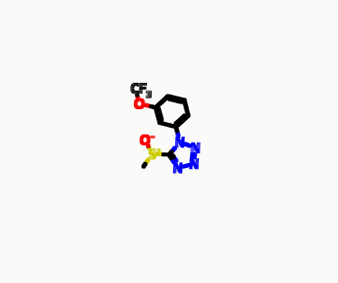 C[S+]([O-])c1nnnn1-c1cccc(OC(F)(F)F)c1